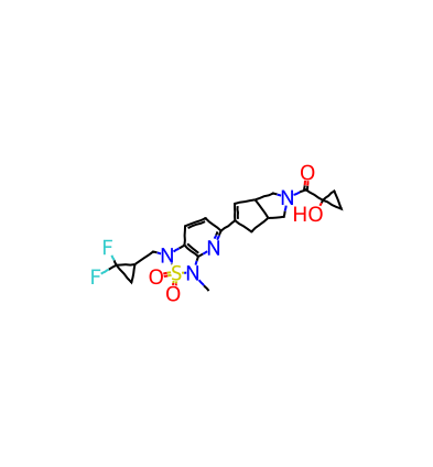 CN1c2nc(C3=CC4CN(C(=O)C5(O)CC5)CC4C3)ccc2N(CC2CC2(F)F)S1(=O)=O